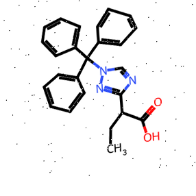 CCC(C(=O)O)c1ncn(C(c2ccccc2)(c2ccccc2)c2ccccc2)n1